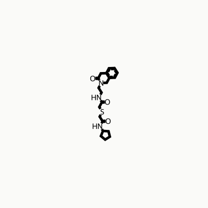 O=C(CSCC(=O)NC1CCCC1)NCCN1Cc2ccccc2CC1=O